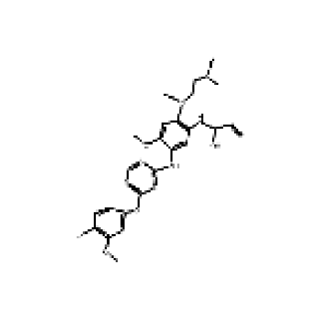 C=CC(O)Nc1cc(Nc2ncnc(Oc3ccc(Cl)c(OC)c3)n2)c(OC)cc1N(C)CCN(C)C